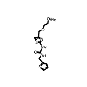 COCCOCc1csc(NC(=O)NCc2cccs2)n1